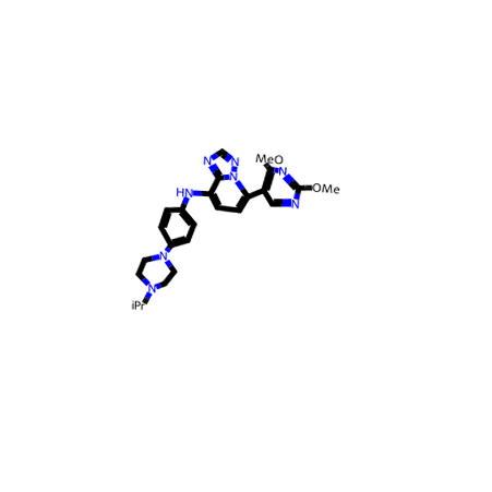 COc1ncc(-c2ccc(Nc3ccc(N4CCN(C(C)C)CC4)cc3)c3ncnn23)c(OC)n1